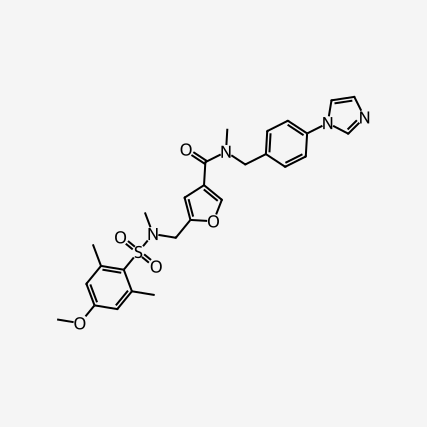 COc1cc(C)c(S(=O)(=O)N(C)Cc2cc(C(=O)N(C)Cc3ccc(-n4ccnc4)cc3)co2)c(C)c1